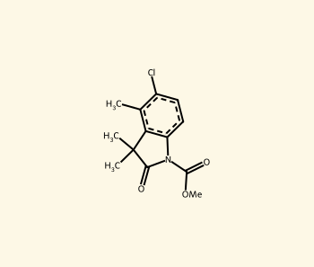 COC(=O)N1C(=O)C(C)(C)c2c1ccc(Cl)c2C